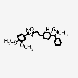 COc1ccc(-c2noc(CCC3CCC(C(c4ccccc4)N(C)C)CC3)n2)cc1OC